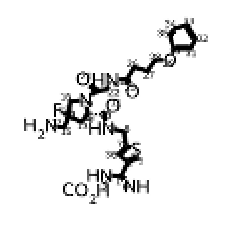 N=C(NC(=O)O)c1csc(CNC(=O)[C@@H]2C[C@](F)(CN)CN2C(=O)CNC(=O)CCCOc2ccccc2)c1